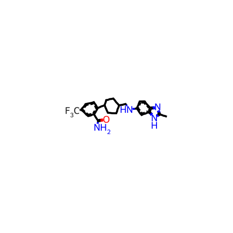 Cc1nc2ccc(NCC3CCC(c4ccc(C(F)(F)F)cc4C(N)=O)CC3)cc2[nH]1